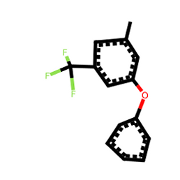 Cc1cc(Oc2ccccc2)cc(C(F)(F)F)c1